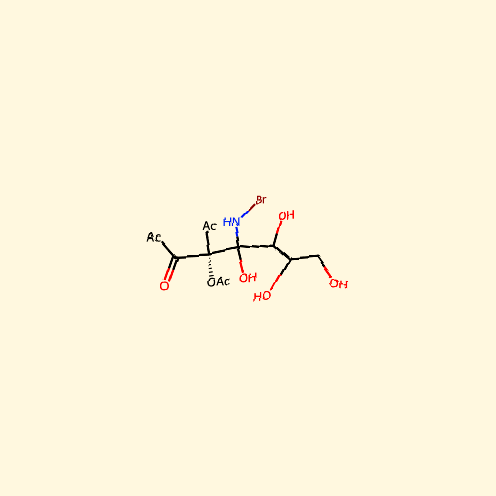 CC(=O)O[C@@](C(C)=O)(C(=O)C(C)=O)C(O)(NBr)C(O)C(O)CO